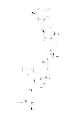 NC(CCCCB(O)O)(C(=O)O)[C@H]1C[C@@H](NCCc2ccc(-c3ccccc3)cc2)C1